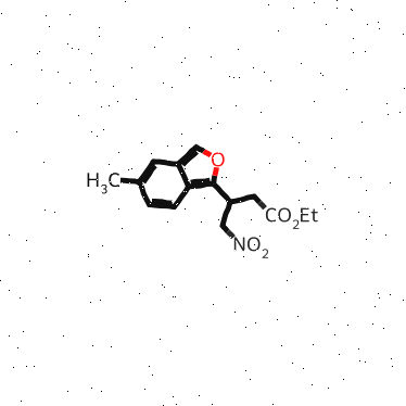 CCOC(=O)CC(C[N+](=O)[O-])c1occ2cc(C)ccc12